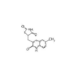 Cc1ccc2[nH]c(=O)c(CC3SC(=O)NC3=O)cc2c1